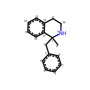 CC1(Cc2ccccc2)NCCc2ccccc21